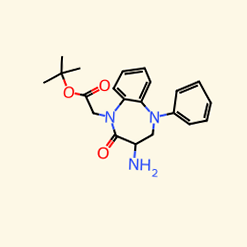 CC(C)(C)OC(=O)CN1C(=O)C(N)CN(c2ccccc2)c2ccccc21